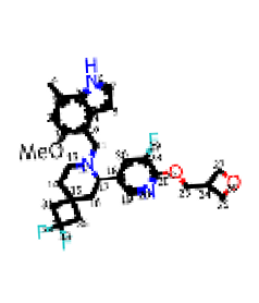 COc1cc(C)c2[nH]ccc2c1CN1CCC2(C[C@@H]1c1cnc(OCC3COC3)c(F)c1)CC(F)(F)C2